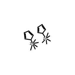 [CH3][Zn]([CH3])([CH3])([CH3])([CH3])[CH]1C=CC=C1.[CH3][Zn]([CH3])([CH3])([CH3])([CH3])[CH]1C=CC=C1